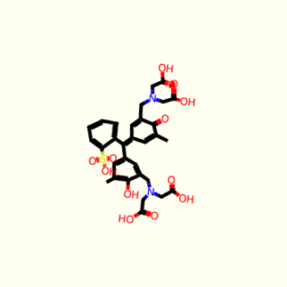 CC1=C/C(=C(\c2cc(C)c(O)c(CN(CC(=O)O)CC(=O)O)c2)c2ccccc2S(=O)(=O)O)C=C(CN(CC(=O)O)CC(=O)O)C1=O